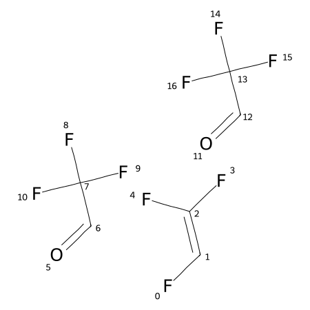 FC=C(F)F.O=CC(F)(F)F.O=CC(F)(F)F